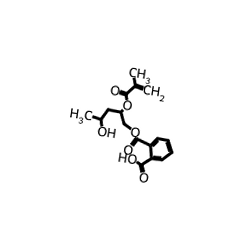 C=C(C)C(=O)OC(COC(=O)c1ccccc1C(=O)O)CC(C)O